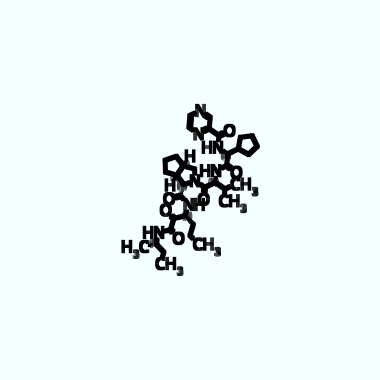 CCC[C@H](NC(=O)[C@@H]1[C@H]2CCC[C@H]2CN1C(=O)[C@@H](NC(=O)[C@@H](NC(=O)c1cnccn1)C1CCCC1)C(C)C)C(=O)C(=O)N[C@@H](C)CC